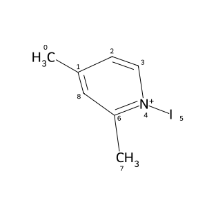 Cc1cc[n+](I)c(C)c1